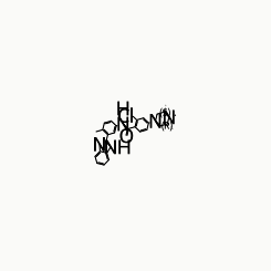 Cc1ccc(NC(=O)c2ccc(N3C[C@@H](C)N(C)[C@@H](C)C3)cc2Cl)cc1-c1nc2ccccc2[nH]1